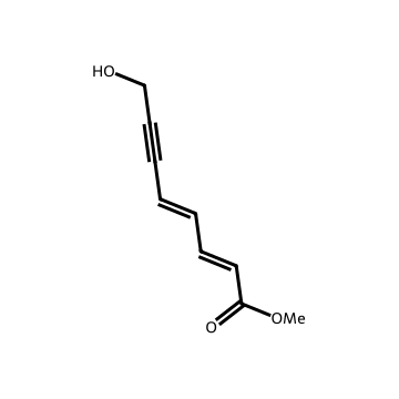 COC(=O)C=CC=CC#CCO